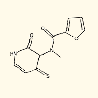 CN(C(=O)c1ccco1)C1C(=O)NC=CC1=S